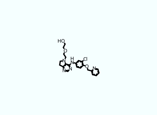 OCCOCCN1CCc2ncnc(Nc3ccc(OCc4ccccn4)c(Cl)c3)c21